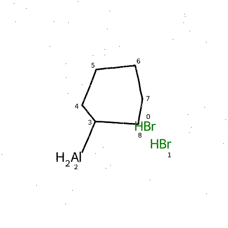 Br.Br.[AlH2][CH]1CCCCC1